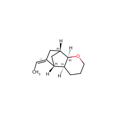 C/C=C1/C[C@H]2C[C@@H]1[C@@H]1CCCO[C@H]21